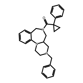 O=C(N1Cc2ccccc2N2CCN(Cc3ccccc3)CC2C1)C1(c2ccccc2)CC1